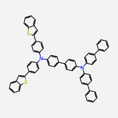 c1ccc(-c2ccc(N(c3ccc(-c4ccccc4)cc3)c3ccc(-c4ccc(N(c5ccc(-c6cc7ccccc7s6)cc5)c5ccc(-c6cc7ccccc7s6)cc5)cc4)cc3)cc2)cc1